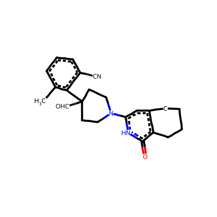 Cc1cccc(C#N)c1C1(C=O)CCN(c2cc3c(c(=O)[nH]2)CCCC3)CC1